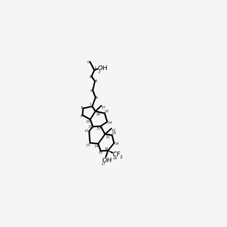 CC(O)CCCCC1CCC2C3CCC4C[C@](O)(C(F)(F)F)CCC4(C)C3CCC12C